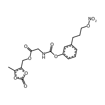 Cc1oc(=O)oc1COC(=O)CNC(=O)Oc1cccc(CCCO[N+](=O)[O-])c1